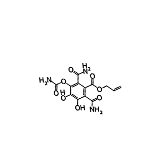 C=CCOC(=O)c1c(C(N)=O)c(O)c(O)c(OC(N)=O)c1C(N)=O